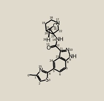 Cc1csc(-c2ccc3[nH]nc(C(=O)N[C@H]4CN5CCC4CC5)c3c2)n1